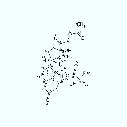 CC(=O)OCC(=O)[C@@]1(O)CC[C@H]2[C@@H]3CCC4=CC(=O)CC[C@]4(C)[C@H]3[C@@H](OC(=O)C(F)(F)F)C[C@@]21C